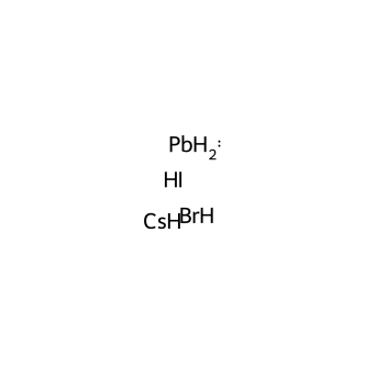 Br.I.[CsH].[PbH2]